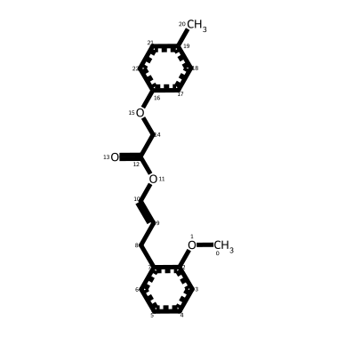 COc1ccccc1C/C=C/OC(=O)COc1ccc(C)cc1